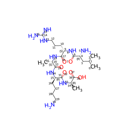 CC(C)C[C@@H](N)C(=O)N[C@@H](CCCNC(=N)N)C(=O)N[C@@H](C)C(=O)N[C@H](CCCCN)C(=O)N[C@H](C)C(=O)O